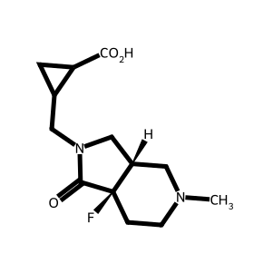 CN1CC[C@]2(F)C(=O)N(CC3CC3C(=O)O)C[C@@H]2C1